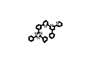 c1ccc(-c2cc(-c3ccccn3)nc(-c3cccc(-c4cccc(-c5nc(-c6ccccc6)nc(-c6ccccc6)n5)c4)n3)c2)cc1